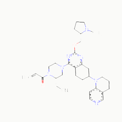 C=CC(=O)N1CCN(c2nc(OC[C@@H]3CCCN3C)nc3c2CCC(N2CCCc4cnccc42)C3)C[C@@H]1CC#N